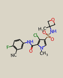 Cn1cc(S(=O)(=O)NC2(C)COC2)c(Cl)c1C(=O)Nc1ccc(F)c(C#N)c1